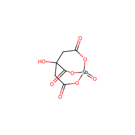 O=C1CC2(O)CC(=O)[O][Sb](=[O])([O]1)[O]C2=O